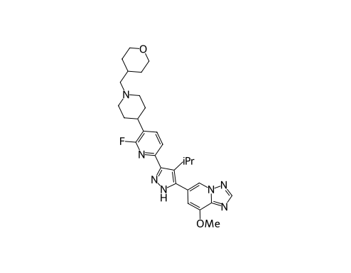 COc1cc(-c2[nH]nc(-c3ccc(C4CCN(CC5CCOCC5)CC4)c(F)n3)c2C(C)C)cn2ncnc12